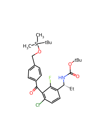 CC[C@@H](NC(=O)OC(C)(C)C)c1ccc(Cl)c(C(=O)c2ccc(CO[Si](C)(C)C(C)(C)C)cc2)c1F